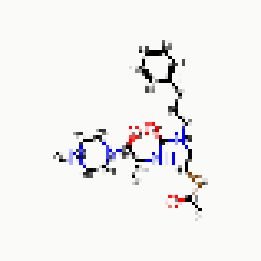 CC(=O)SCCN(CCCc1ccccc1)C(=O)N[C@@H](C)C(=O)N1CCN(C)CC1